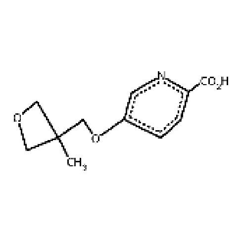 CC1(COc2ccc(C(=O)O)nc2)COC1